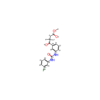 COC(=O)CC(C)(C)C(=O)c1cccc(NC(=O)Nc2cccc(F)c2)c1